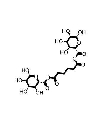 O=C(CCCCC(=O)OC(=O)[C@H]1O[C@@H](O)[C@H](O)[C@@H](O)[C@@H]1O)OC(=O)[C@H]1O[C@@H](O)[C@H](O)[C@@H](O)[C@@H]1O